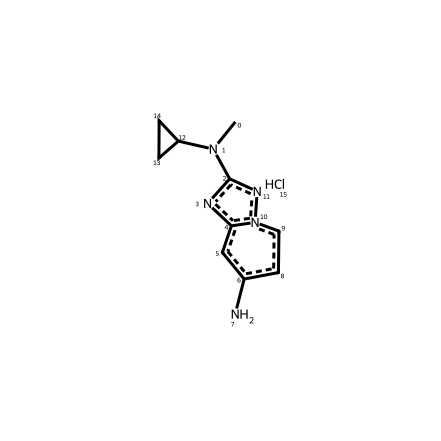 CN(c1nc2cc(N)ccn2n1)C1CC1.Cl